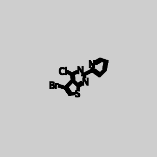 Clc1nc(-c2ccccn2)nc2scc(Br)c12